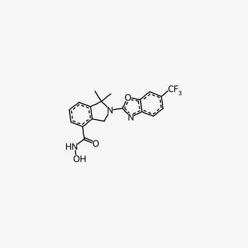 CC1(C)c2cccc(C(=O)NO)c2CN1c1nc2ccc(C(F)(F)F)cc2o1